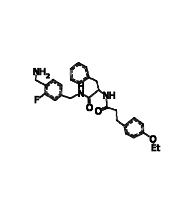 CCOc1ccc(CCC(=O)NC(Cc2ccccc2)C(=O)NCc2ccc(CN)c(F)c2)cc1